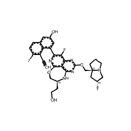 C#Cc1c(F)ccc2cc(O)cc(-c3nc4c5c(nc(OC[C@@]67CCCN6C[C@H](F)C7)nc5c3F)N[C@@H](CCO)CO4)c12